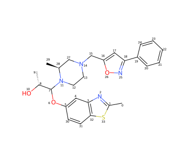 Cc1nc2cc(OC([C@@H](C)O)N3CCN(Cc4cc(-c5ccccc5)no4)C[C@@H]3C)ccc2s1